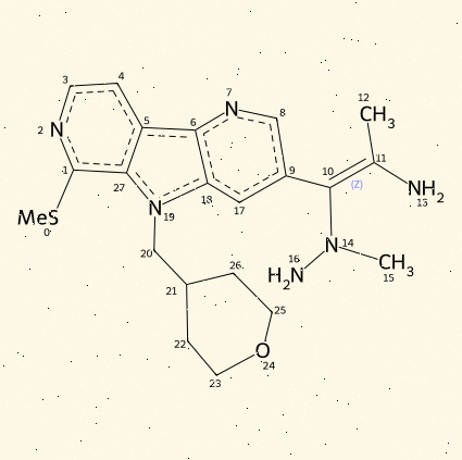 CSc1nccc2c3ncc(/C(=C(\C)N)N(C)N)cc3n(CC3CCOCC3)c12